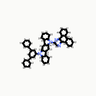 c1ccc(-c2cc(-c3ccccc3)cc(-n3c4ccccc4c4cc5c(cc43)c3ccccc3n5-c3cnc4c5ccccc5c5ccccc5c4n3)c2)cc1